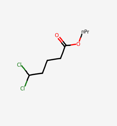 CCCOC(=O)CCCC(Cl)Cl